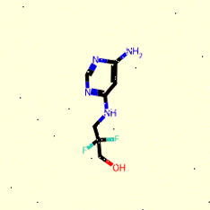 Nc1cc(NCC(F)(F)CO)ncn1